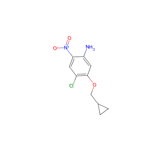 Nc1cc(OCC2CC2)c(Cl)cc1[N+](=O)[O-]